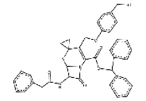 O=C(Cc1ccccc1)NC1C(=O)N2C(C(=O)OC(c3ccccc3)c3ccccc3)=C(COc3ccc(CCl)cc3)C3(CC3)SC12